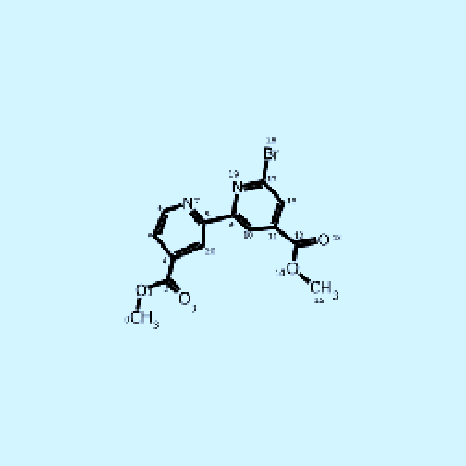 COC(=O)c1ccnc(-c2cc(C(=O)OC)cc(Br)n2)c1